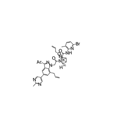 C=CCOC[C@]12C3C1[C@H]2N(C(=O)Cn1nc(C(C)=O)c2cc(-c4cnc(C)nc4)cc(CC=C)c21)[C@@H]3C(=O)Nc1nc(Br)ccc1C